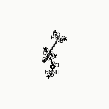 CC(C)(C)OC(=O)/N=C(/N(CCCCCCCCN/C(=N\C(=O)OC(C)(C)C)NC(=O)OC(C)(C)C)C(=O)OC(C)(C)C)N(CCCOc1ccc(C(=N)NC(=O)OC(C)(C)C)cc1Cl)C(=O)OC(C)(C)C